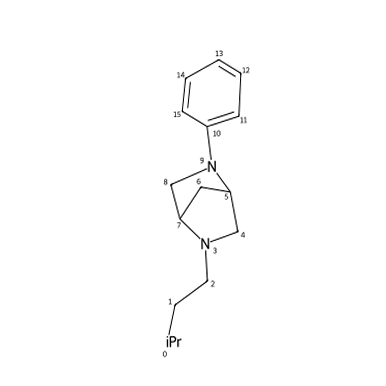 CC(C)CCN1CC2CC1CN2c1ccccc1